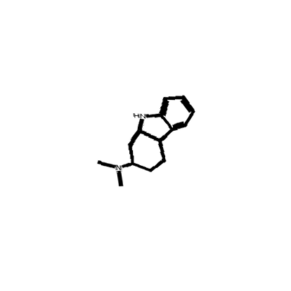 CN(C)C1CCC2c3ccccc3NC2C1